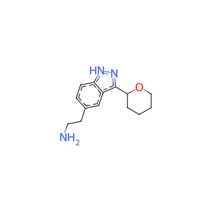 NCCc1ccc2[nH]nc(C3CCCCO3)c2c1